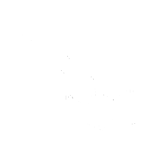 Cc1ccc2[nH]c(-n3cc(OC(=O)O)cn3)nc2c1C